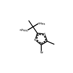 CCCCCCC(C)(CCCCC)c1nc(Br)c(C)s1